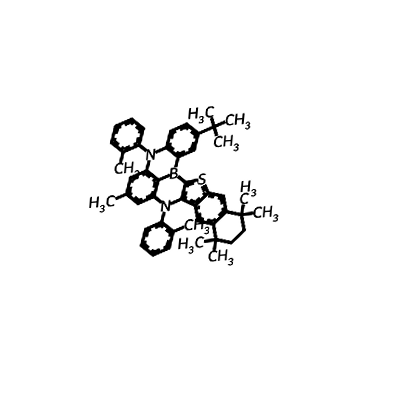 Cc1cc2c3c(c1)N(c1ccccc1C)c1c(sc4cc5c(cc14)C(C)(C)CCC5(C)C)B3c1cc(C(C)(C)C)ccc1N2c1ccccc1C